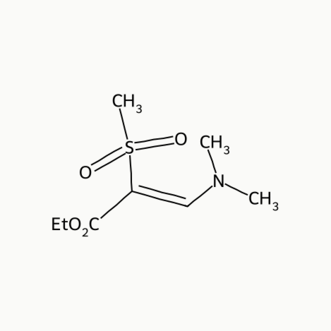 CCOC(=O)C(=CN(C)C)S(C)(=O)=O